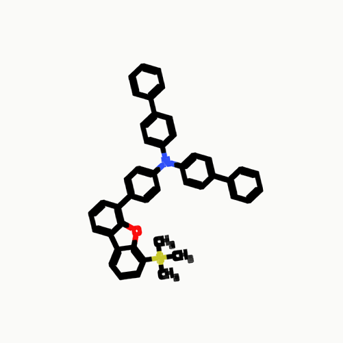 CS(C)(C)c1cccc2c1oc1c(-c3ccc(N(c4ccc(-c5ccccc5)cc4)c4ccc(-c5ccccc5)cc4)cc3)cccc12